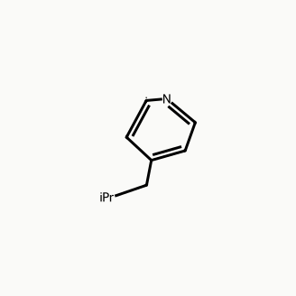 CC(C)Cc1c[c]ncc1